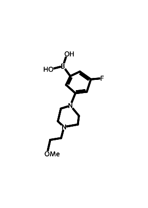 COCCN1CCN(c2cc(F)cc(B(O)O)c2)CC1